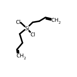 C=CCC[Si](Cl)(Cl)CCC=C